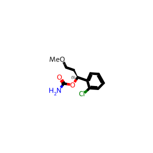 COCC[C@H](OC(N)=O)c1ccccc1Cl